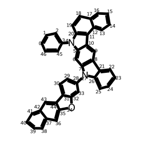 c1ccc(-n2c3cc4c(cc3c3c5ccccc5ccc32)c2ccccc2n4-c2ccc3c(c2)oc2cc4ccccc4cc23)cc1